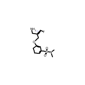 CN(C)S(=O)(=O)C1=CCCC(OC/C(=C\F)CN)=C1